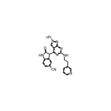 CCCn1cc2c(C3C(=O)Nc4ccc(C#N)cc43)nc(NCCc3cccnc3)nc2n1